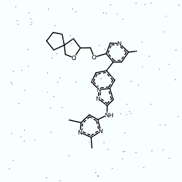 Cc1cc(-c2ccn3nc(Nc4cc(C)nc(C)n4)cc3c2)c(OCC2CC3(CCCC3)CO2)cn1